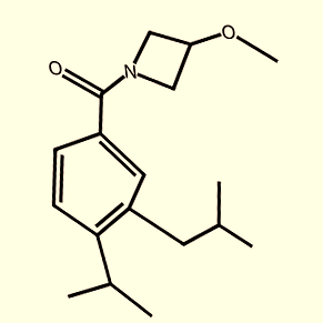 COC1CN(C(=O)c2ccc(C(C)C)c(CC(C)C)c2)C1